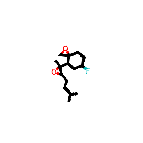 CC(C)=CCC1OC1(C)C1CC(F)CCC12CO2